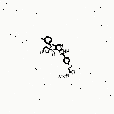 CNC(=O)COc1ccc(-c2nc3c(N[C@@]4(Cc5cccc(C)c5)CCNC4)c(Cl)cnc3[nH]2)cc1